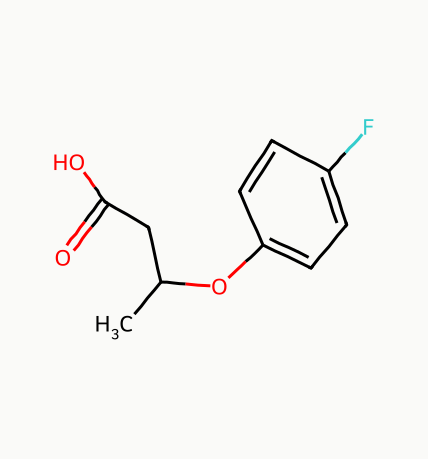 CC(CC(=O)O)Oc1ccc(F)cc1